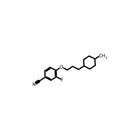 CC1CCC(CCCOc2ccc(C#N)cc2F)CC1